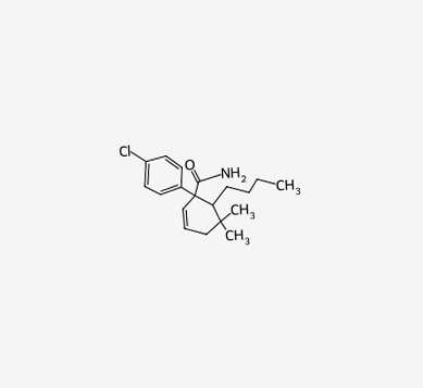 CCCCC1C(C)(C)CC=CC1(C(N)=O)c1ccc(Cl)cc1